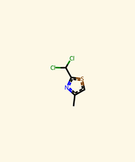 Cc1csc(C(Cl)Cl)n1